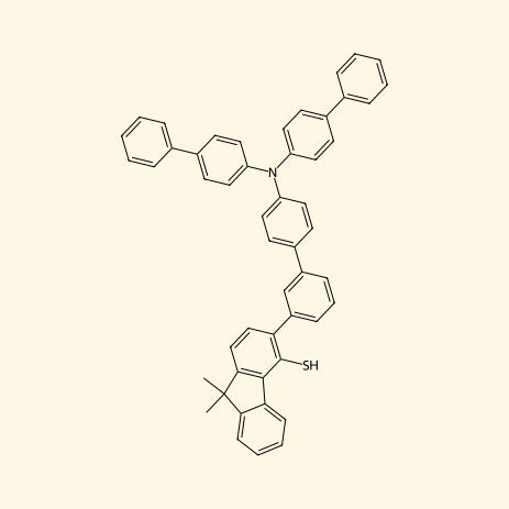 CC1(C)c2ccccc2-c2c1ccc(-c1cccc(-c3ccc(N(c4ccc(-c5ccccc5)cc4)c4ccc(-c5ccccc5)cc4)cc3)c1)c2S